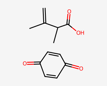 C=C(C)C(C)C(=O)O.O=C1C=CC(=O)C=C1